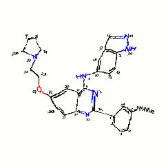 CNc1cccc(-c2nc(Nc3ccc4[nH]ncc4c3)c3cc(OCCN4CCCC4)ccc3n2)c1